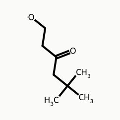 CC(C)(C)CC(=O)CC[O]